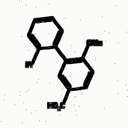 COc1ccc(C(=O)O)cc1-c1ccccc1C(C)C